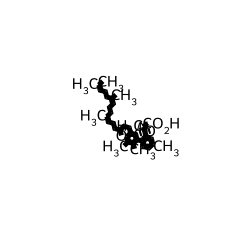 CC(C)=CCCC(C)=CCCC(C)=CCCC1CCc2cc(-c3ccc(C)cc3S(=O)(=O)N(C)C(=O)O)c(C)c(C)c2O1